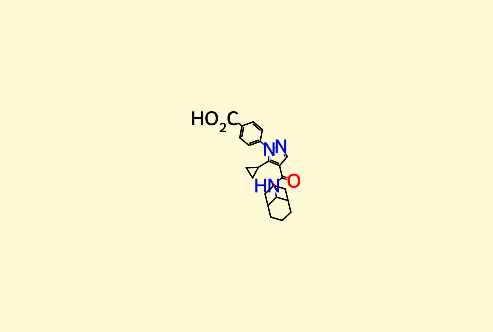 O=C(O)c1ccc(-n2ncc(C(=O)NC3C4CCCC3CCC4)c2C2CC2)cc1